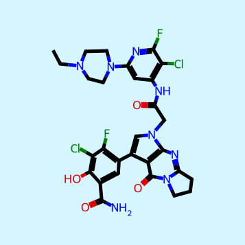 CCN1CCN(c2cc(NC(=O)Cn3cc(-c4cc(C(N)=O)c(O)c(Cl)c4F)c4c(=O)n5c(nc43)CCC5)c(Cl)c(F)n2)CC1